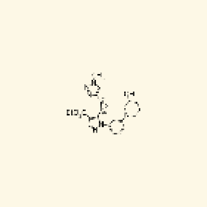 CCOC(=O)c1cnn(-c2cccc(N3CCCC(O)C3)c2)c1[C@@H]1C[C@H]1c1cn(C)nn1